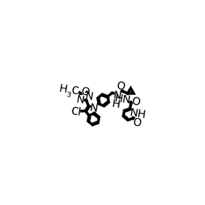 Cc1nc(-c2c(Cl)c3ccccc3n2-c2ccc(CNC(=O)C3(NC(=O)c4cccc(=O)[nH]4)CC3)cc2)no1